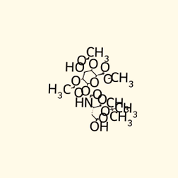 COC(=O)[C@H]1OC(OC(=O)N[C@@H](CC(=O)O)C(=O)OC(C)(C)C)[C@H](OC(C)=O)[C@@H](O)[C@@H]1OC(C)=O